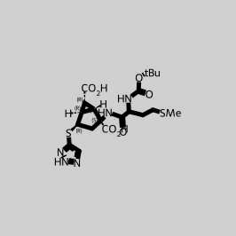 CSCCC(NC(=O)OC(C)(C)C)C(=O)N[C@@]1(C(=O)O)C[C@@H](Sc2cn[nH]n2)[C@H]2[C@H](C(=O)O)[C@H]21